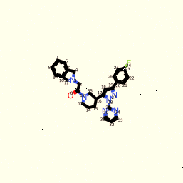 O=C(CN1Cc2ccccc2C1)N1CCCC(c2cc(-c3ccc(F)cc3)nn2-c2ncccn2)C1